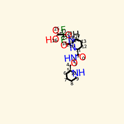 O=C(NOC[C@@H]1CCCCN1)[C@@H]1CC[C@H]2CN1C(=O)N2OC(F)(F)C(=O)O